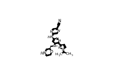 CC(C)n1ccc(-c2nnc(Nc3cnc(C#N)cn3)cc2NC[C@@H]2CNCCO2)n1